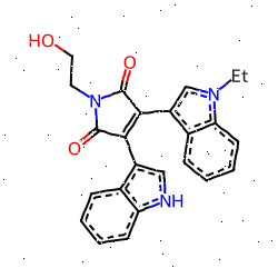 CCn1cc(C2=C(c3c[nH]c4ccccc34)C(=O)N(CCO)C2=O)c2ccccc21